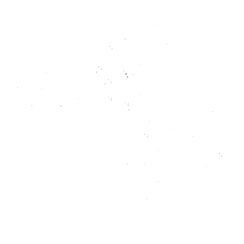 COc1ccc(CNS(=O)(=O)c2c(S(=O)(=O)C3CCNC3)ccc(-c3cccc4nc(N)[nH]c34)c2-c2nnn(Cc3ccc(OC)cc3)n2)cc1